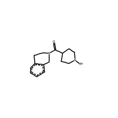 CC(C)N1CCC(C(=O)N2CCc3c[c]ccc3C2)CC1